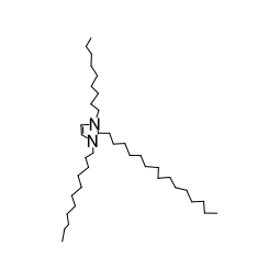 CCCCCCCCCCCCCCCC1N(CCCCCCCCC)C=CN1CCCCCCCCCCC